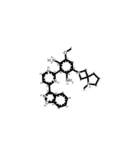 COc1cc(N2CC3(CCCN3C)C2)c(N)c(-c2nccc(-c3noc4ccccc34)n2)c1N